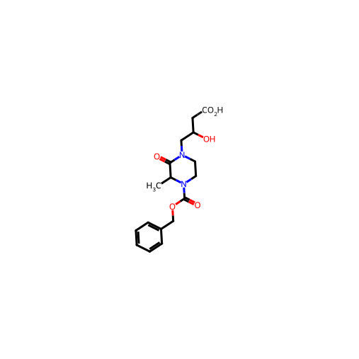 CC1C(=O)N(CC(O)CC(=O)O)CCN1C(=O)OCc1ccccc1